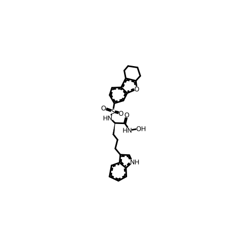 O=C(NO)[C@@H](CCCc1c[nH]c2ccccc12)NS(=O)(=O)c1ccc2c3c(oc2c1)CCCC3